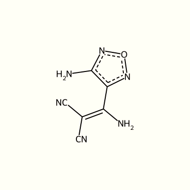 N#CC(C#N)=C(N)c1nonc1N